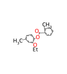 CCOc1cc(C)ccc1OC(=O)c1ccccc1C